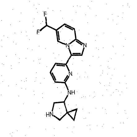 FC(F)c1ccc2ncc(-c3cccc(NC4CNCC45CC5)n3)n2c1